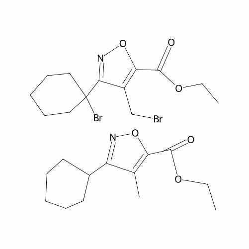 CCOC(=O)c1onc(C2(Br)CCCCC2)c1CBr.CCOC(=O)c1onc(C2CCCCC2)c1C